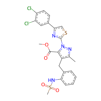 COC(=O)c1c(Cc2ccccc2NS(C)(=O)=O)c(C)nn1-c1nc(-c2ccc(Cl)c(Cl)c2)cs1